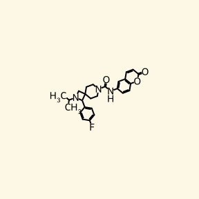 CC(C)N1CC2(CCN(C(=O)Nc3ccc4oc(=O)ccc4c3)CC2)C1c1ccc(F)cc1